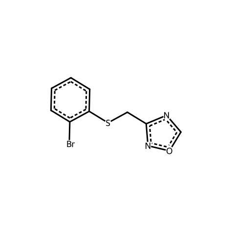 Brc1ccccc1SCc1ncon1